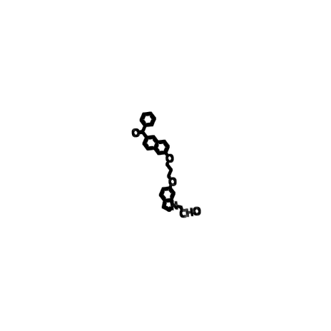 O=CCn1ccc2ccc(OCCCOc3ccc4cc(C(=O)c5ccccc5)ccc4c3)cc21